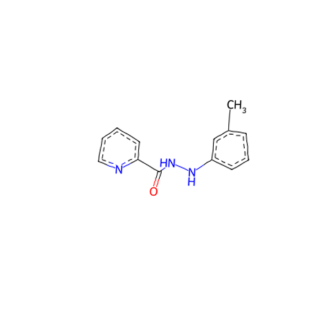 Cc1cccc(NNC(=O)c2ccccn2)c1